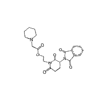 O=C(CN1CCCCC1)OCCN1C(=O)CCC(N2C(=O)c3ccccc3C2=O)C1=O